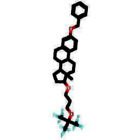 CC12CCC3c4ccc(OCc5ccccc5)cc4CCC3C1CCC2OCCCOC(C(F)(F)F)(C(F)(F)F)C(F)(F)F